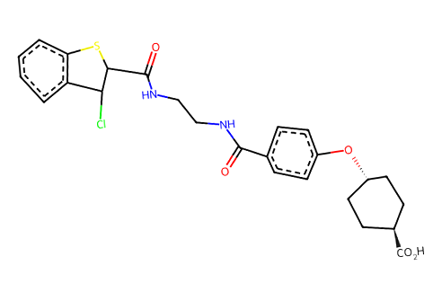 O=C(NCCNC(=O)C1Sc2ccccc2C1Cl)c1ccc(O[C@H]2CC[C@H](C(=O)O)CC2)cc1